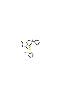 C=C/C=C\c1c(C(C)c2ccccc2)sc2c1=CC=CC(C)(c1ccccc1)C=2